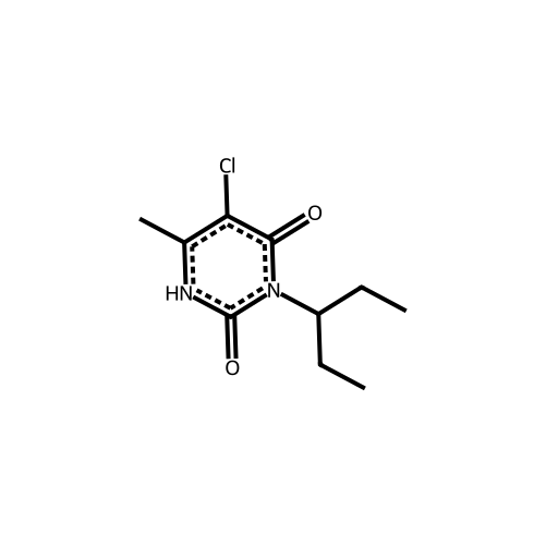 CCC(CC)n1c(=O)[nH]c(C)c(Cl)c1=O